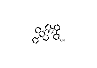 CC1(C2=CC=CC(N3C4C=CC=CC4N(c4ccccc4)C4C=CCCC43)C2)CC=CC=C1c1cccc(C#N)n1